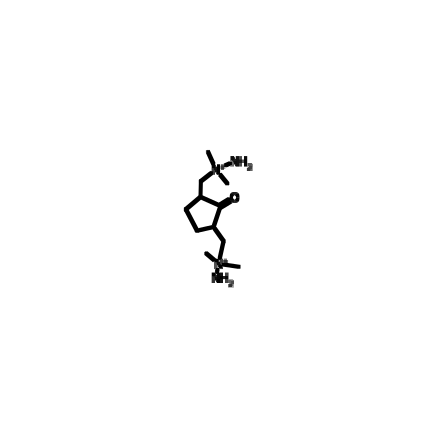 C[N+](C)(N)CC1CCC(C[N+](C)(C)N)C1=O